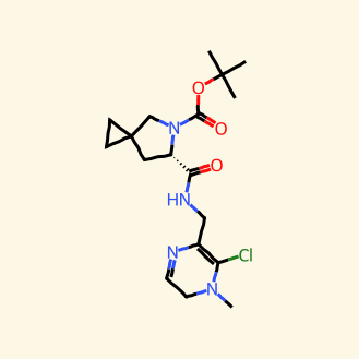 CN1CC=NC(CNC(=O)[C@@H]2CC3(CC3)CN2C(=O)OC(C)(C)C)=C1Cl